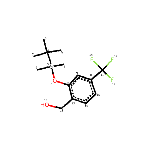 CC(C)(C)[Si](C)(C)Oc1cc(C(F)(F)F)ccc1CO